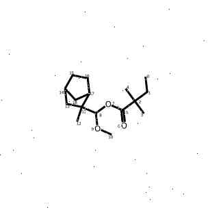 CCC(C)(C)C(=O)OC(OC)C1(C)CC2CCC1C2